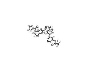 CN(C)C(=O)Nc1cncc(-c2cnc3[nH]nc(-c4nc5c(C(=O)N6CCCC6)ccnc5[nH]4)c3c2)c1